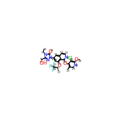 CCn1c(CO)nn(-c2cc(O[C@@H](C)C(F)(F)F)c3c(Oc4c(C)cnc(OC)c4Cl)nccc3c2)c1=O